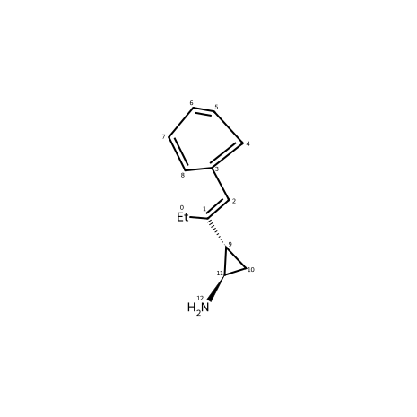 CC/C(=C\c1ccccc1)[C@@H]1C[C@H]1N